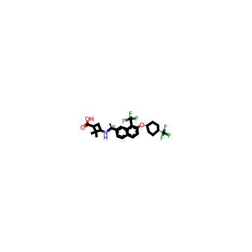 C[C@H](NC1CC(C(=O)O)C1(C)C)c1ccc2ccc(O[C@H]3CC[C@@H](C(F)(F)F)CC3)c(C(F)(F)F)c2c1